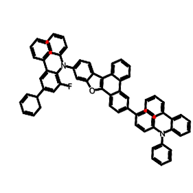 Fc1cc(C2C=CC=CC2)cc(-c2ccccc2)c1N(c1ccccc1)c1ccc2c(c1)oc1c3ccc(-c4ccc(N(c5ccccc5)c5ccccc5-c5ccccc5)cc4)cc3c3ccccc3c21